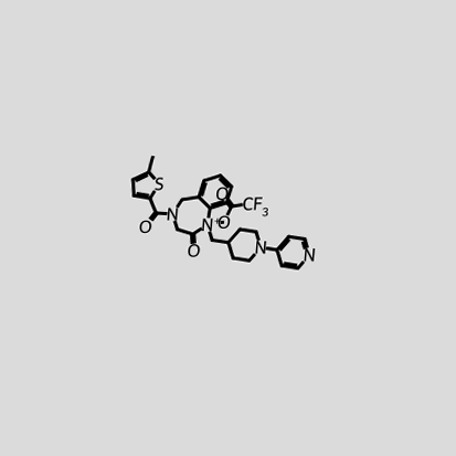 Cc1ccc(C(=O)N2CC(=O)[N+](CC3CCN(c4ccncc4)CC3)(OC(=O)C(F)(F)F)c3ccccc3C2)s1